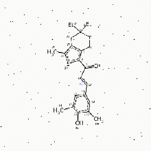 CCC1(CC)CCc2c(C(=O)/C=C/c3cc(C)c(O)c(C)c3)sc(C)c2C1